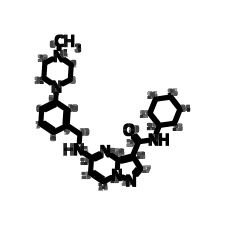 CN1CCN(c2cccc(CNc3ccn4ncc(C(=O)NC5CCCCC5)c4n3)c2)CC1